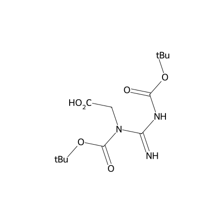 CC(C)(C)OC(=O)NC(=N)N(CC(=O)O)C(=O)OC(C)(C)C